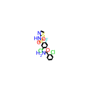 N[C@H](Oc1cc(F)c(S(=O)(=O)Nc2nccs2)cc1Cl)c1ccccc1Cl